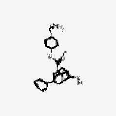 CCOC1C2CC3(C(=S)N[C@H]4CC[C@H](CN)CC4)CC1CC(c1ccccc1)(C2)C3